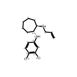 C=CCN[C@@H]1CCCCC[C@H]1Nc1ccc(Cl)c(Cl)c1